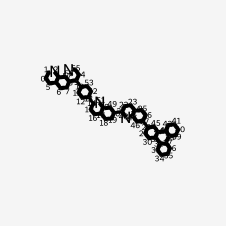 c1cnc2c(c1)ccc1c(-c3ccc(-c4ccc5ccc(-c6ccc7ccc(-c8ccc9c%10ccccc%10c%10ccccc%10c9c8)cc7n6)cc5n4)cc3)ccnc12